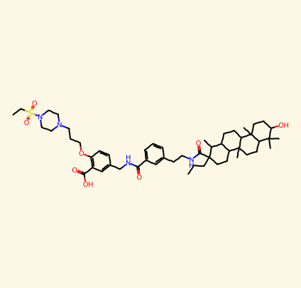 CCCC1(C(=O)NCCc2cccc(C(=O)NCc3ccc(OCCCN4CCN(S(=O)(=O)CC)CC4)c(C(=O)O)c3)c2)CCC2C(CCC3C2(C)CCC2C(C)(C)C(O)CCC23C)C1C